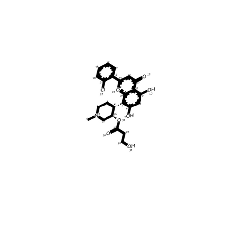 CN1CC[C@H](c2c(O)cc(O)c3c(=O)cc(-c4ccccc4Cl)oc23)[C@H](OC(=O)CCO)C1